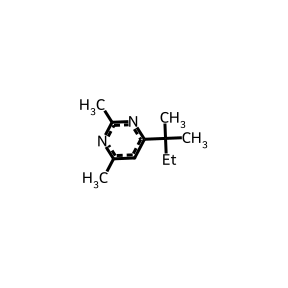 CCC(C)(C)c1cc(C)nc(C)n1